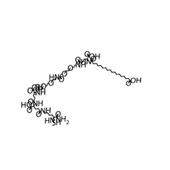 NC(=O)C(CCCCNC(=O)CCC(NC(=O)CC[C@H](NC(=O)COCCOCCNC(=O)COCCOCCNC(=O)CCC(NC(=O)CCCCCCCCCCCCCCCCC(=O)O)C(=O)O)C(=O)O)C(=O)O)NS